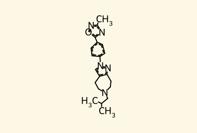 Cc1noc(-c2ccc(-n3cc4c(n3)CCN(CC(C)C)CC4)cc2)n1